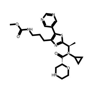 COC(=O)NCCCc1nc([C@@H](C)N(C(=O)[C@H]2CNCCO2)C2CC2)sc1-c1cncnc1